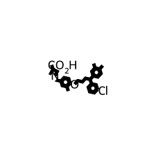 Cc1ccc(C(CCCOc2ccc(CN3CC(C(=O)O)C3)cc2C)c2cccc(Cl)c2)cc1C